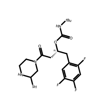 CC(C)(C)NC(=O)O[C@@H](CC(=O)N1CCNC(S)C1)Cc1cc(F)c(F)cc1F